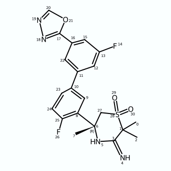 CC1(C)C(=N)N[C@](C)(c2cc(-c3cc(F)cc(-c4nnco4)c3)ccc2F)CS1(=O)=O